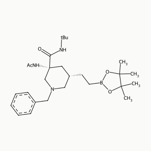 CC(=O)N[C@]1(C(=O)NC(C)(C)C)C[C@H](CCB2OC(C)(C)C(C)(C)O2)CN(Cc2ccccc2)C1